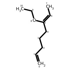 C=CCCCC(=CC)OCC